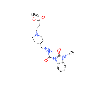 CC(C)n1c(=O)n(C(=O)NCC2CCN(CCC(=O)OC(C)(C)C)CC2)c2ccccc21